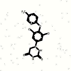 O=C1CN(c2cc(Cl)c(Oc3ccc(C(F)(F)F)cn3)c(Cl)c2)NC(=O)N1